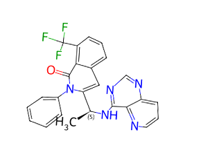 C[C@H](Nc1ncnc2cccnc12)c1cc2cccc(C(F)(F)F)c2c(=O)n1-c1ccccc1